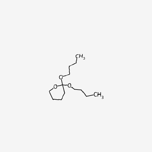 CCCCOC1(OCCCC)CCCCO1